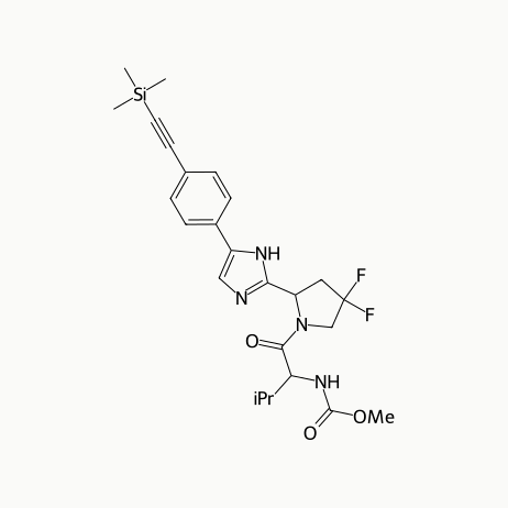 COC(=O)NC(C(=O)N1CC(F)(F)CC1c1ncc(-c2ccc(C#C[Si](C)(C)C)cc2)[nH]1)C(C)C